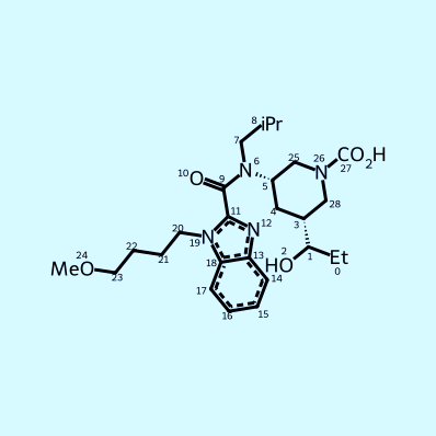 CCC(O)[C@@H]1C[C@H](N(CC(C)C)C(=O)c2nc3ccccc3n2CCCCOC)CN(C(=O)O)C1